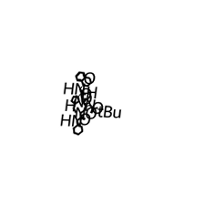 CC(C)(C)OC(=O)N[C@H]1CN(C(=O)NC2CCCCC2)CC[C@H]2CC[C@@H](C(=O)N[C@@H]3CCOc4ccccc43)N2C1=O